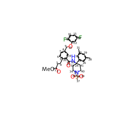 COC(=O)CCc1ccc(COc2cc(F)ccc2F)cc1C(=O)NC1(c2cc(C)cc(C)c2)CCN(S(C)(=O)=O)CC1